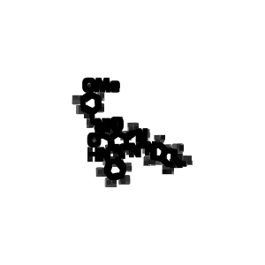 COc1ccc(CNC(=O)c2c(=O)c3cnc(N4CC5CN(C)CC5C4)nc3n3c2[nH]c2ccccc23)cc1